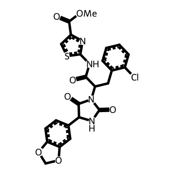 COC(=O)c1csc(NC(=O)C(Cc2ccccc2Cl)N2C(=O)NC(c3ccc4c(c3)OCO4)C2=O)n1